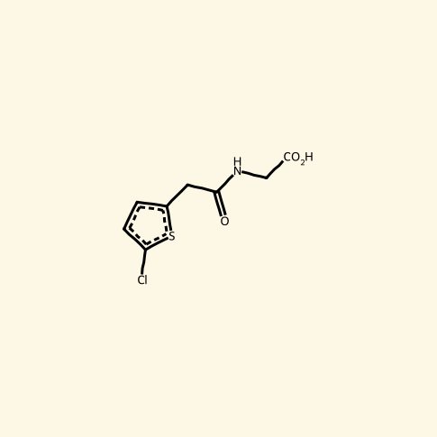 O=C(O)CNC(=O)Cc1ccc(Cl)s1